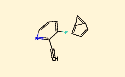 C#Cc1ncccc1F.c1cc2cc-2c1